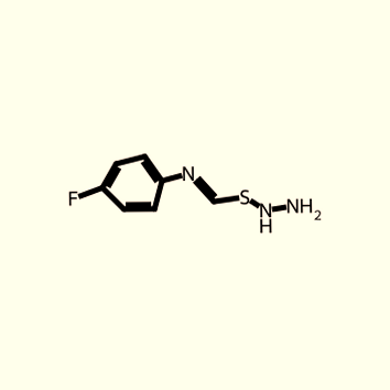 NNS/C=N/c1ccc(F)cc1